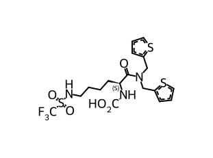 O=C(O)N[C@@H](CCCCNS(=O)(=O)C(F)(F)F)C(=O)N(Cc1cccs1)Cc1cccs1